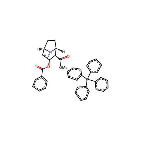 COC(=O)[C@H]1[C@@H](OC(=O)c2ccccc2)C[C@@H]2CC[C@H]1N2C.c1ccc([B-](c2ccccc2)(c2ccccc2)c2ccccc2)cc1